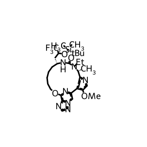 CCN1C(=O)N[C@@H](CC(O[Si](C)(C)C(C)(C)C)C(F)(F)F)CCCCCOc2nc(cn3ncnc23)-c2cc(ncc2OC)[C@H]1C